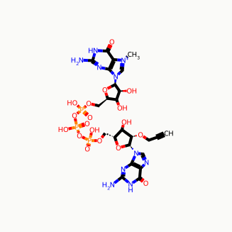 C#CCO[C@H]1C(O)[C@@H](COP(=O)(O)OP(=O)(O)OP(=O)(O)OC[C@H]2O[C@@H](n3c[n+](C)c4c(=O)[nH]c(N)nc43)[C@@H](O)C2O)O[C@H]1n1cnc2c(=O)[nH]c(N)nc21